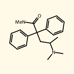 CNC(=O)C(CC(C)N(C)C)(c1ccccc1)c1ccccc1